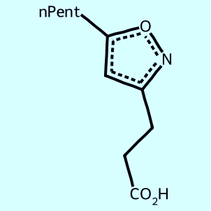 CCCCCc1cc(CCC(=O)O)no1